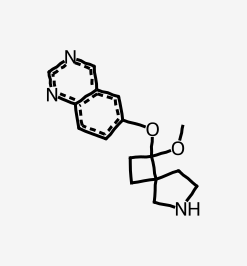 COC1(Oc2ccc3ncncc3c2)CCC12CCNC2